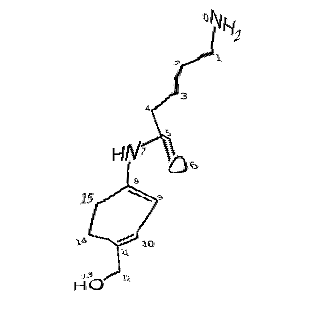 NCCCCC(=O)NC1=CC=C(CO)CC1